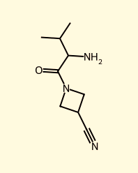 CC(C)C(N)C(=O)N1CC(C#N)C1